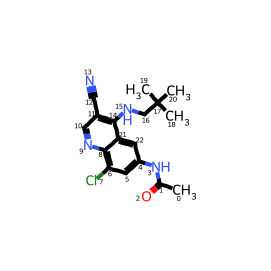 CC(=O)Nc1cc(Cl)c2ncc(C#N)c(NCC(C)(C)C)c2c1